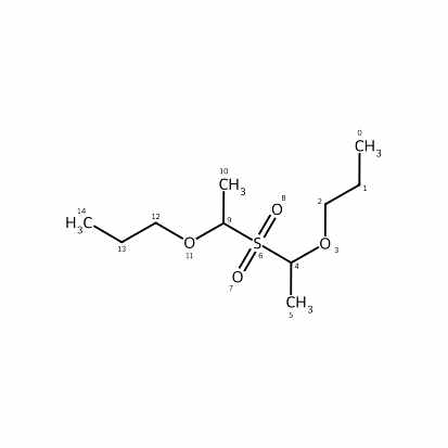 CCCOC(C)S(=O)(=O)C(C)OCCC